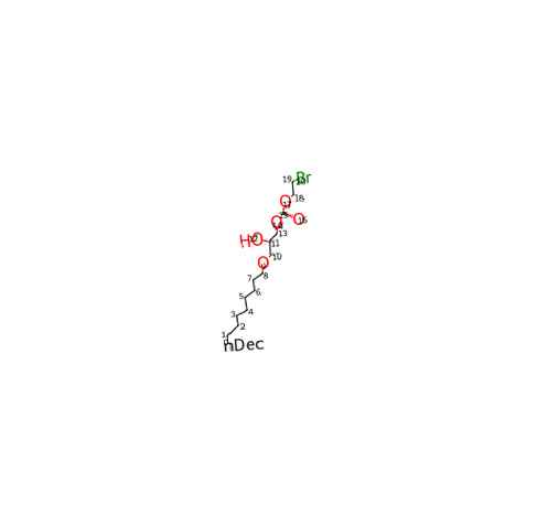 CCCCCCCCCCCCCCCCCCOC[C@@H](O)COC(=O)OCCBr